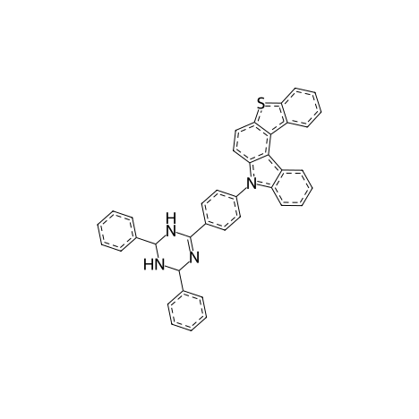 c1ccc(C2N=C(c3ccc(-n4c5ccccc5c5c6c(ccc54)sc4ccccc46)cc3)NC(c3ccccc3)N2)cc1